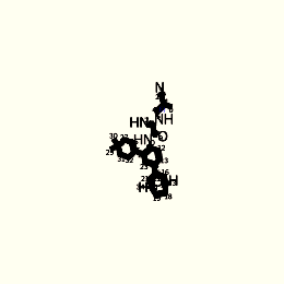 C/C(C#N)=C\NC(=N)C(=O)Nc1ccc(C2=C[C@@H]3C=C[C@H](C2)O3)cc1C1=CCC(C)(C)CC1